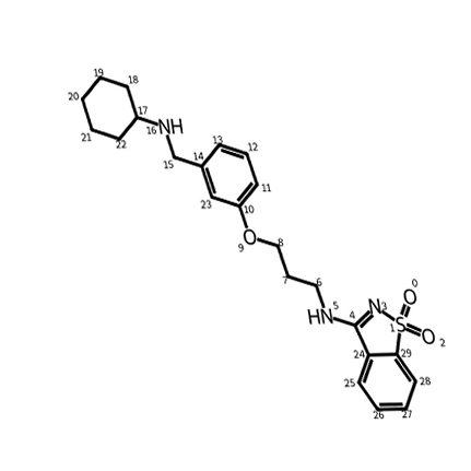 O=S1(=O)N=C(NCCCOc2cccc(CNC3CCCCC3)c2)c2ccccc21